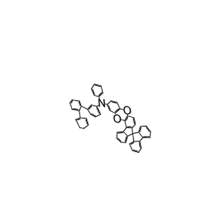 C1=CC(c2ccccc2-c2cccc(N(c3ccccc3)c3ccc4c(c3)Oc3c(ccc5c3-c3ccccc3C53c5ccccc5-c5ccccc53)O4)c2)=CCC1